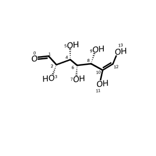 O=C[C@@H](O)[C@H](O)[C@@H](O)[C@H](O)/C(O)=C\O